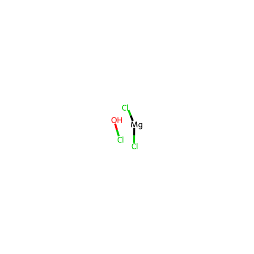 OCl.[Cl][Mg][Cl]